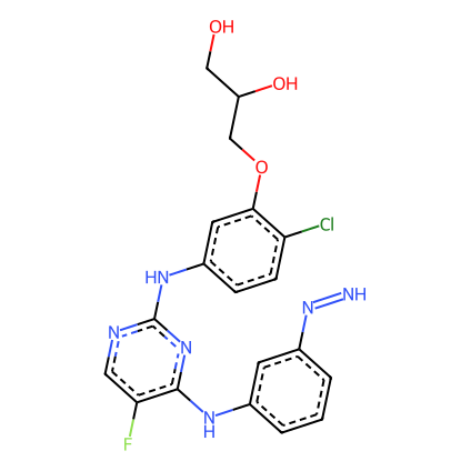 N=Nc1cccc(Nc2nc(Nc3ccc(Cl)c(OCC(O)CO)c3)ncc2F)c1